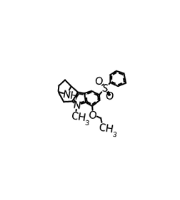 CCOc1cc(S(=O)(=O)c2ccccc2)cc2c3c(n(C)c12)CC1CCC3N1